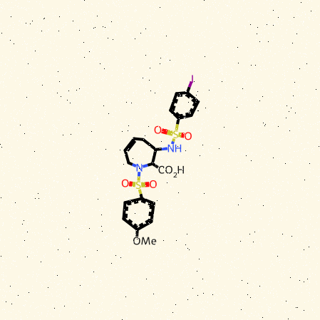 COc1ccc(S(=O)(=O)N2CC=CCC(NS(=O)(=O)c3ccc(I)cc3)C2C(=O)O)cc1